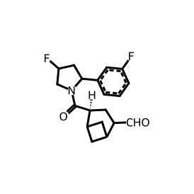 O=CC1C[C@H](C(=O)N2CC(F)CC2c2cccc(F)c2)C2CC1C2